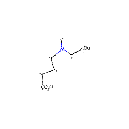 CN(CCCC(=O)O)CC(C)(C)C